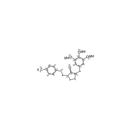 COc1cc(CN2CCC(CCc3ccc(C(F)(F)F)cc3)C2=O)cc(OC)c1OC